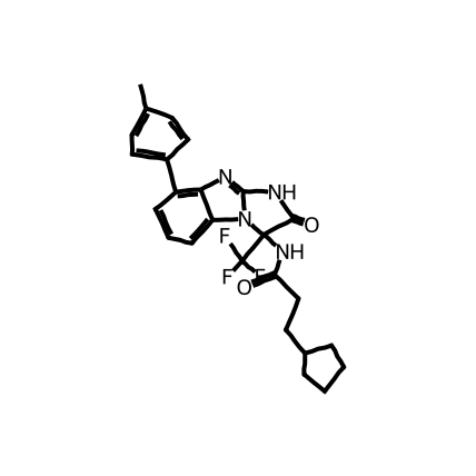 Cc1ccc(-c2cccc3c2nc2n3C(NC(=O)CCC3CCCC3)(C(F)(F)F)C(=O)N2)cc1